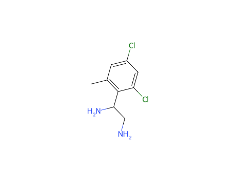 Cc1cc(Cl)cc(Cl)c1C(N)CN